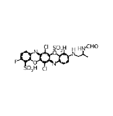 CC(CNc1ccc2c(c1S(=O)(=O)O)Oc1c(Cl)c3c(c(Cl)c1=N2)Oc1c(ccc(F)c1S(=O)(=O)O)N=3)NC=O